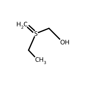 C=S(CC)CO